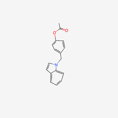 CC(=O)Oc1ccc(Cn2ccc3ccccc32)cc1